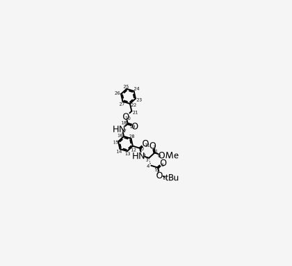 COC(=O)[C@H](CC(=O)OC(C)(C)C)NC(=O)c1cccc(NC(=O)OCc2ccccc2)c1